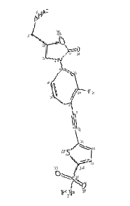 CC(=O)NCC1CN(c2ccc(C#Cc3ccc(S(N)(=O)=O)s3)c(F)c2)C(=O)O1